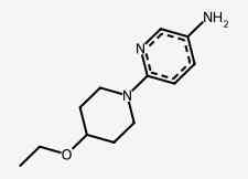 CCOC1CCN(c2ccc(N)cn2)CC1